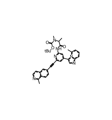 Cc1nccc2cc(C#Cc3cc(-c4cnc5cccc(C)n45)cc(NC(=O)C(C)N(C)C(=O)OC(C)(C)C)n3)ccc12